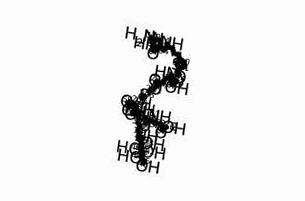 Nc1nc2[nH]c(CCCc3ccc(C(=O)NC(CCC(=O)OCCSSC[C@H](NC(=O)[C@H](CCCNC[C@H](O)[C@@H](O)[C@H](O)[C@H](O)CO)NC(=O)[C@@H](N)CCC(=O)O)C(=O)O)C(=O)O)s3)cc2c(=O)[nH]1